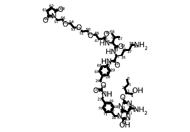 CCCC(CO)Oc1nc(N)c2nc(O)n(Cc3ccc(CNC(=O)OCc4ccc(NC(=O)[C@H](CCCCN)NC(=O)[C@@H](NC(=O)CCOCCOCCOCCN5C(=O)C=CC5=O)C(C)C)cc4)cc3)c2n1